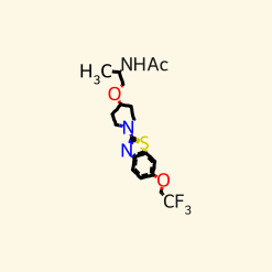 CC(=O)N[C@@H](C)COC1CCN(c2nc3ccc(OCC(F)(F)F)cc3s2)CC1